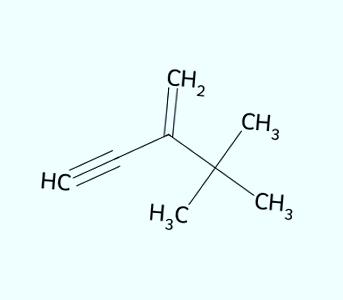 C#CC(=C)C(C)(C)C